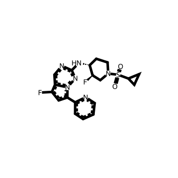 O=S(=O)(C1CC1)N1CC[C@@H](Nc2ncc3c(F)cc(-c4ccccn4)n3n2)[C@H](F)C1